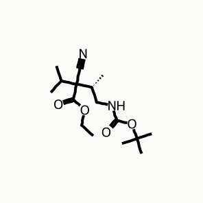 CCOC(=O)C(C#N)(C(C)C)[C@H](C)CNC(=O)OC(C)(C)C